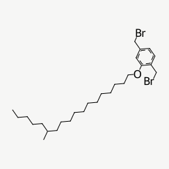 CCCCCC(C)CCCCCCCCCCCCOc1cc(CBr)ccc1CBr